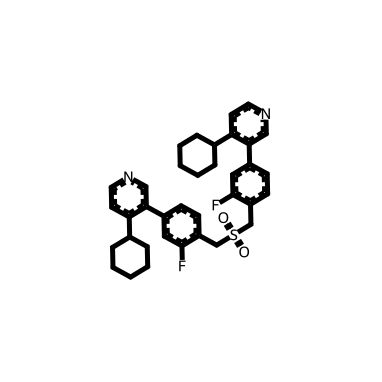 O=S(=O)(Cc1ccc(-c2cnccc2C2CCCCC2)cc1F)Cc1ccc(-c2cnccc2C2CCCCC2)cc1F